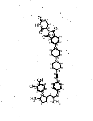 CC(CC1CCC(C)N1c1ccc(C#N)c(Cl)c1)Oc1ccc(C#CC2CCN(C3CCN(c4ccc5c(c4)C(=O)N(C4CCC(=O)NC4=O)C5=O)CC3)CC2)cc1